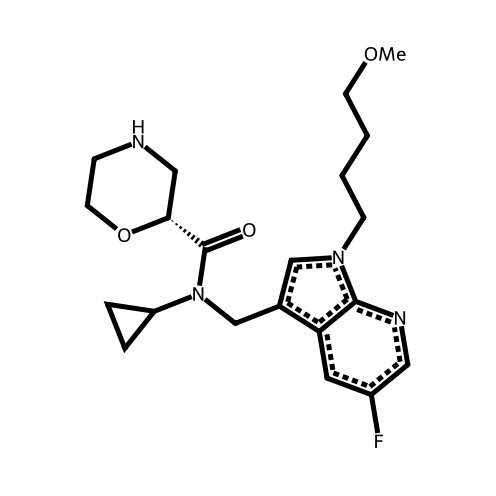 COCCCCn1cc(CN(C(=O)[C@H]2CNCCO2)C2CC2)c2cc(F)cnc21